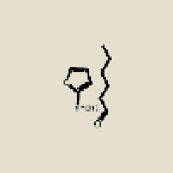 CCCCCC=O.CCCCCc1ccco1